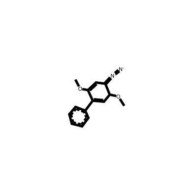 COC1=CC(=[N+]=[N-])C(OC)C=C1c1ccccc1